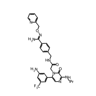 CC(C)Nc1ncc(-c2cc(N)cc(C(F)(F)F)c2)n(CC(=O)NCc2ccc(/C(N)=N/OCc3ccccn3)cc2)c1=O